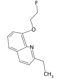 CCc1ccc2cccc(OCCF)c2n1